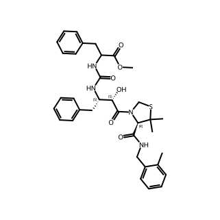 COC(=O)C(Cc1ccccc1)NC(=O)N[C@@H](Cc1ccccc1)[C@H](O)C(=O)N1CSC(C)(C)[C@H]1C(=O)NCc1ccccc1C